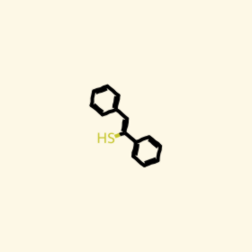 SC(=Cc1ccccc1)c1ccccc1